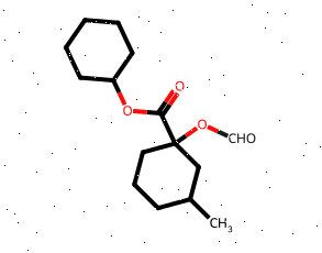 CC1CCCC(OC=O)(C(=O)OC2CCCCC2)C1